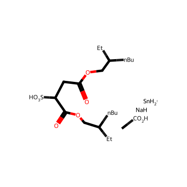 CC(=O)O.CCCCC(CC)COC(=O)CC(C(=O)OCC(CC)CCCC)S(=O)(=O)O.[NaH].[SnH2]